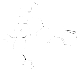 COC(=O)[C@@H]1CC(OC(=O)c2ccccc2F)C(=O)[C@H]2[C@@]1(N)CC[C@H]1C(=O)O[C@H](c3ccoc3)C[C@]21N